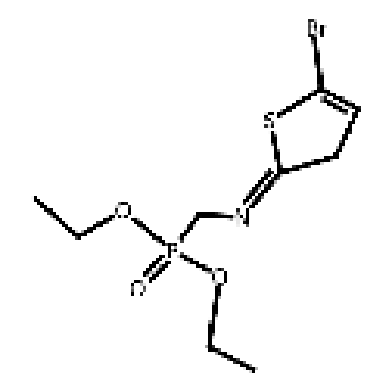 CCOP(=O)(CN=C1CC=C(Br)S1)OCC